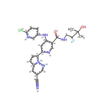 CC(C)(O)C(F)CNC(=O)c1cnc(-c2ccc3cc(C#N)cnn23)cc1Nc1ccc(Cl)nc1